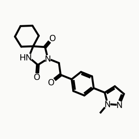 Cn1nccc1-c1ccc(C(=O)CN2C(=O)NC3(CCCCC3)C2=O)cc1